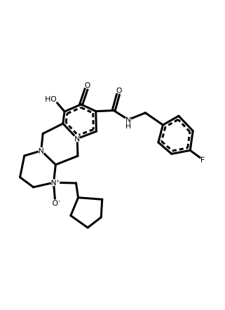 O=C(NCc1ccc(F)cc1)c1cn2c(c(O)c1=O)CN1CCC[N+]([O-])(CC3CCCC3)C1C2